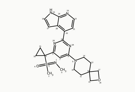 CN=S(C)(=O)C1(c2cc(N3CCC4(CC3)COC4)nc(-c3ccnc4[nH]ccc34)n2)CC1